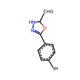 CC(C)c1ccc(C2=NNC(C=O)O2)cc1